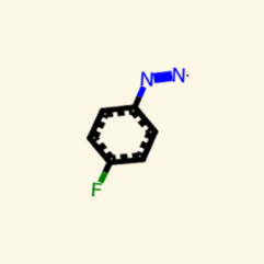 [N]=Nc1ccc(F)cc1